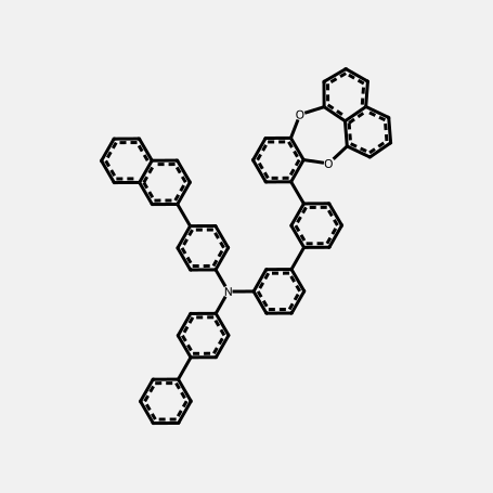 c1ccc(-c2ccc(N(c3ccc(-c4ccc5ccccc5c4)cc3)c3cccc(-c4cccc(-c5cccc6c5Oc5cccc7cccc(c57)O6)c4)c3)cc2)cc1